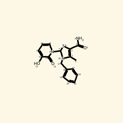 CC1=C(C(N)=O)SC(n2cccc(O)c2=O)N1Cc1ccccc1